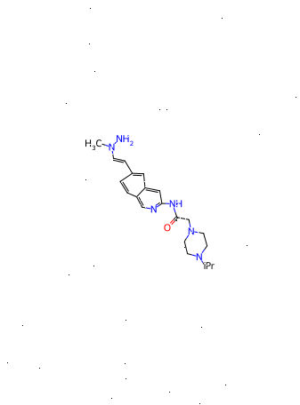 CC(C)N1CCN(CC(=O)Nc2cc3cc(/C=C/N(C)N)ccc3cn2)CC1